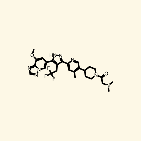 COc1cc(-c2[nH]nc(-c3cc(C)c(C4CCN(C(=O)CN(C)C)CC4)cn3)c2CC(F)(F)F)cn2ncnc12